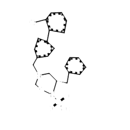 CS(=O)(=O)N1CCN(Cc2ccc(-c3ccccc3Cl)cc2)C[C@H]1Cc1ccccc1